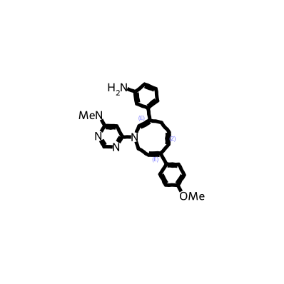 CNc1cc(N2/C=C(/c3cccc(N)c3)C/C=C\C(c3ccc(OC)cc3)=C/C2)ncn1